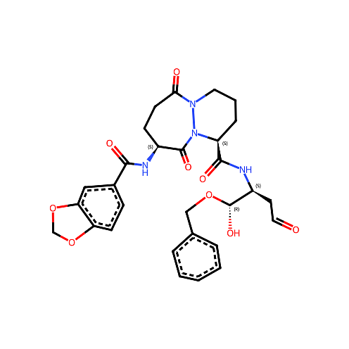 O=CC[C@H](NC(=O)[C@@H]1CCCN2C(=O)CC[C@H](NC(=O)c3ccc4c(c3)OCO4)C(=O)N12)[C@H](O)OCc1ccccc1